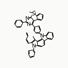 C=C/C=C\c1c(C)c2c(ccc3c4ccccc4n(-c4ccc(-c5nc(-c6ccccc6)nc6c5-c5ccccc5[Si]6(C)C)cc4)c32)n1-c1ccccc1